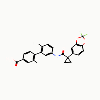 BC(=O)c1ccc(-c2cc(NC(=O)C3(c4ccc5c(c4)OC(F)(F)O5)CC3)ccc2C)c(C)c1